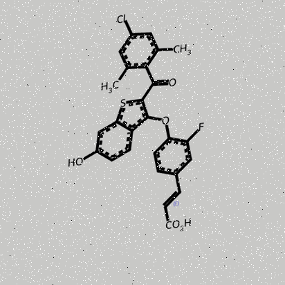 Cc1cc(Cl)cc(C)c1C(=O)c1sc2cc(O)ccc2c1Oc1ccc(/C=C/C(=O)O)cc1F